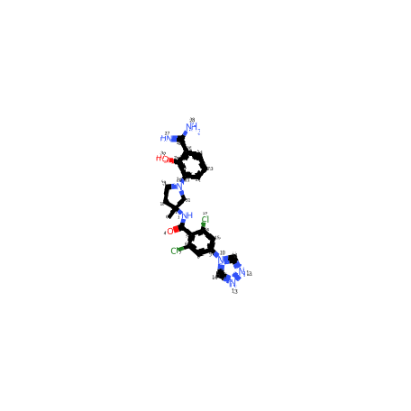 CC1(NC(=O)c2c(Cl)cc(-n3cnnc3)cc2Cl)CCN(c2cccc(C(=N)N)c2O)C1